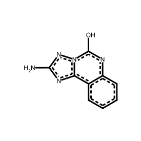 Nc1nc2c3ccccc3nc(O)n2n1